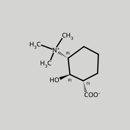 C[N+](C)(C)[C@@H]1CCC[C@H](C(=O)[O-])[C@H]1O